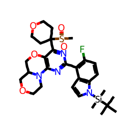 CC(C)(C)[Si](C)(C)n1ccc2c(-c3nc4c(c(C5(S(C)(=O)=O)CCOCC5)n3)OCC3COCCN43)c(F)ccc21